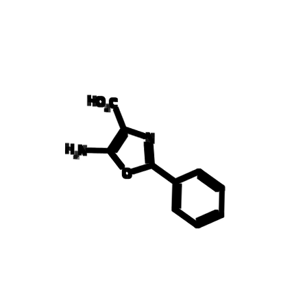 Nc1oc(-c2ccccc2)nc1C(=O)O